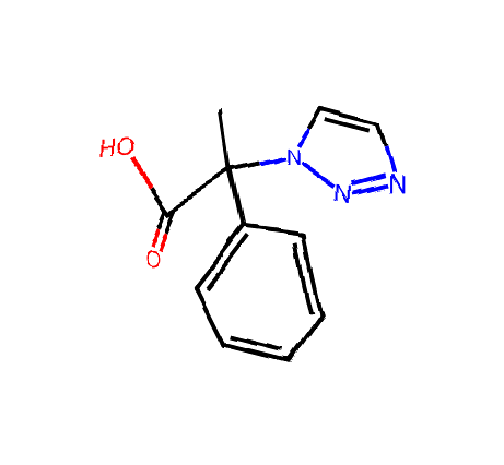 CC(C(=O)O)(c1ccccc1)n1ccnn1